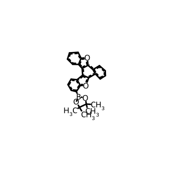 CC1(C)OB(c2cccc3c2oc2c4ccccc4c4oc5ccccc5c4c32)OC1(C)C